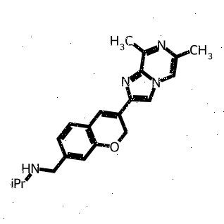 Cc1cn2cc(C3=Cc4ccc(CNC(C)C)cc4OC3)nc2c(C)n1